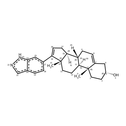 C[C@]12CC[C@@H](O)CC1=CC[C@@H]1[C@@H]2CC[C@]2(C)C(c3ccc4cn[nH]c4c3)=CC[C@@H]12